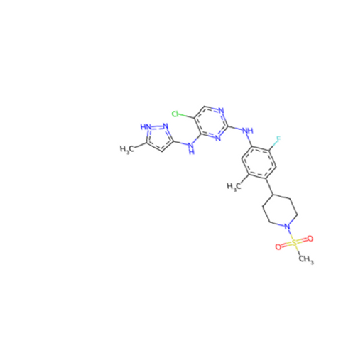 Cc1cc(Nc2nc(Nc3cc(C)c(C4CCN(S(C)(=O)=O)CC4)cc3F)ncc2Cl)n[nH]1